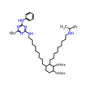 CCCCCCC1CCC(CCCCCCCCCNc2nc(Nc3ccccc3)nc(C(C)(C)C)n2)C(CCCCCCCCCNC(C)C(C)C)C1CCCCCC